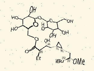 CC[C@H](C)[C@H](C[C@H]1C[C@H]1C[C@@H](O)[C@@H](CC)C(=O)OCC1OC(OC2OC(CO)C(O)C(O)C2O)C(O)C(O)C1O)OC